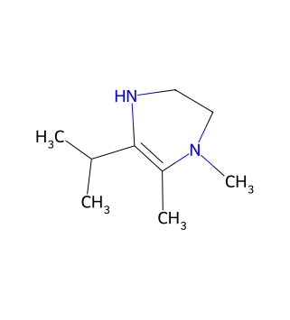 CC1=C(C(C)C)NCCN1C